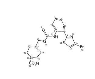 O=C(Nc1ccccc1-c1nc(Br)cs1)OCC1CCN(C(=O)O)CC1